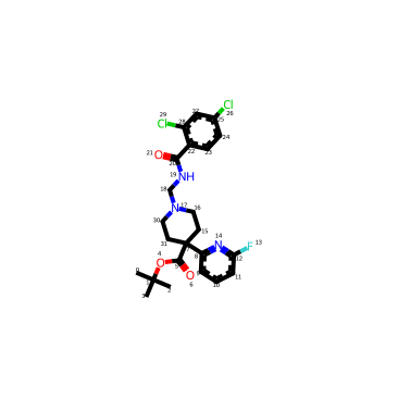 CC(C)(C)OC(=O)C1(c2cccc(F)n2)CCN(CNC(=O)c2ccc(Cl)cc2Cl)CC1